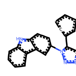 c1ccc(-c2cnnn2-c2ccc3[nH]c4ccccc4c3c2)cc1